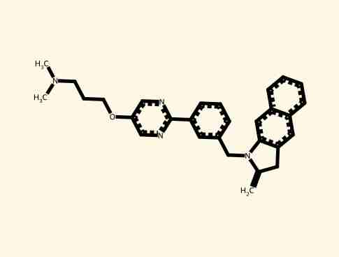 C=C1Cc2cc3ccccc3cc2N1Cc1cccc(-c2ncc(OCCCN(C)C)cn2)c1